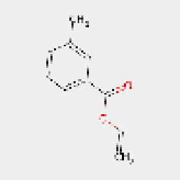 C=COC(=O)c1cccc(C)c1